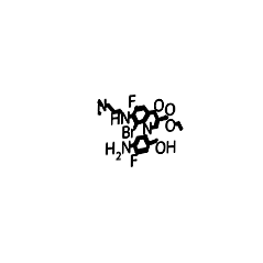 CCOC(=O)c1cn(-c2cc(N)c(F)cc2CO)c2c(Br)c(NCCCN(C)C)c(F)cc2c1=O